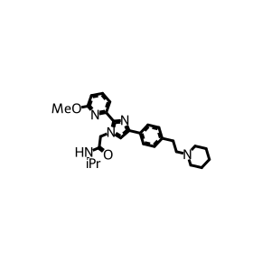 COc1cccc(-c2nc(-c3ccc(CCN4CCCCC4)cc3)cn2CC(=O)NC(C)C)n1